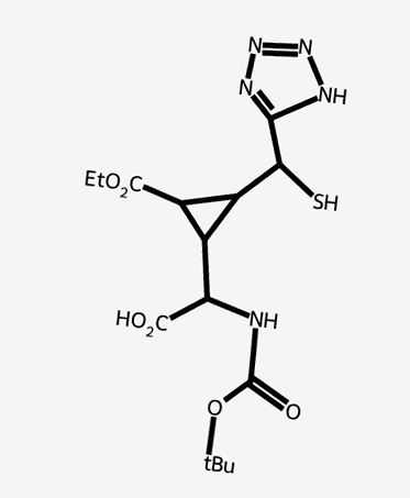 CCOC(=O)C1C(C(NC(=O)OC(C)(C)C)C(=O)O)C1C(S)c1nnn[nH]1